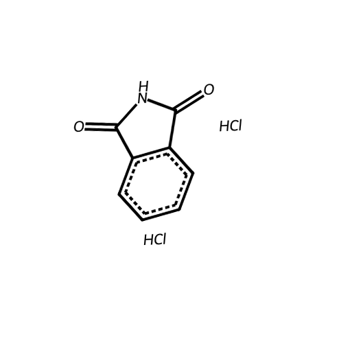 Cl.Cl.O=C1NC(=O)c2ccccc21